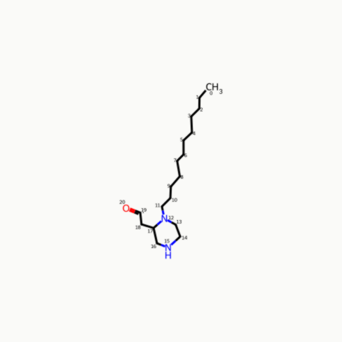 CCCCCCCCCCCCN1CCNCC1C[C]=O